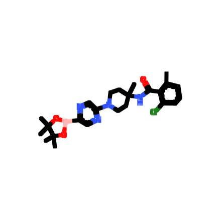 Cc1cccc(Cl)c1C(=O)NC1(C)CCN(c2cnc(B3OC(C)(C)C(C)(C)O3)cn2)CC1